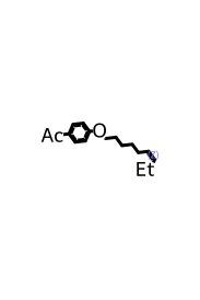 CC/C=C\CCCCCOc1ccc(C(C)=O)cc1